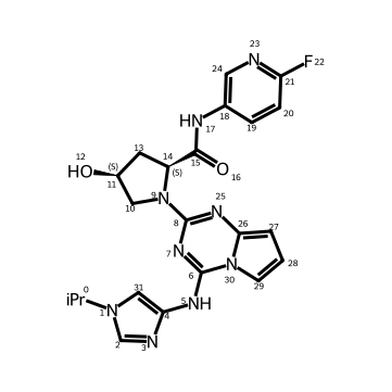 CC(C)n1cnc(Nc2nc(N3C[C@@H](O)C[C@H]3C(=O)Nc3ccc(F)nc3)nc3cccn23)c1